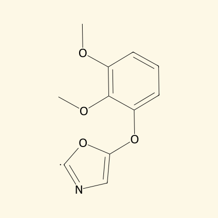 COc1cccc(Oc2cn[c]o2)c1OC